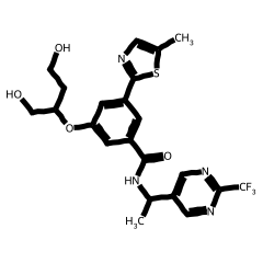 Cc1cnc(-c2cc(OC(CO)CCO)cc(C(=O)NC(C)c3cnc(C(F)(F)F)nc3)c2)s1